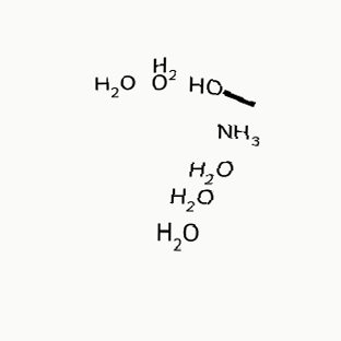 CO.N.O.O.O.O.O